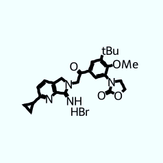 Br.COc1c(N2CCOC2=O)cc(C(=O)CN2Cc3ccc(C4CC4)nc3C2=N)cc1C(C)(C)C